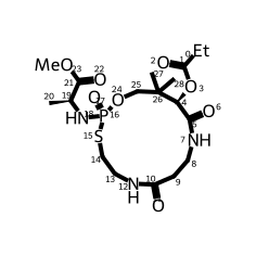 CCC(=O)O[C@H]1C(=O)NCCC(=O)NCCSP(=O)(N[C@@H](C)C(=O)OC)OCC1(C)C